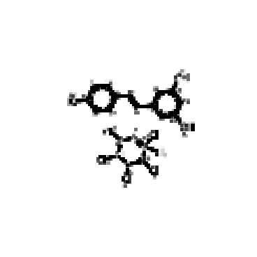 ClN1P(Cl)N=P(Cl)(Cl)N(Cl)P1Cl.Oc1ccc(C=Cc2cc(O)cc(O)c2)cc1